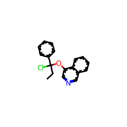 CCC(Cl)(Oc1cncc2ccccc12)c1ccccc1